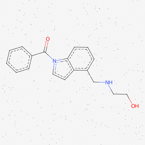 O=C(c1ccccc1)n1ccc2c(CNCCO)cccc21